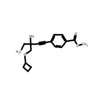 CCC(O)(C#Cc1ccc(C(=O)OC)cc1)COC1CCC1